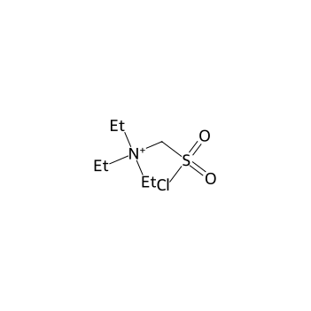 CC[N+](CC)(CC)CS(=O)(=O)Cl